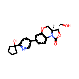 O=C1O[C@@H](CO)[C@@H]2COc3cc(-c4ccc(C5(O)CCCC5)nc4)ccc3N12